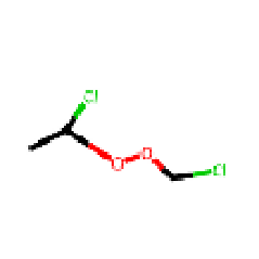 CC(Cl)OOCCl